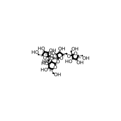 OC[C@H]1O[C@@](CO)(OC[C@H]2O[C@@](CO[C@]3(CO)O[C@H](CO)[C@@H](O)[C@@H]3O)(O[C@H]3O[C@H](CO)[C@@H](O)[C@H](O)[C@H]3O)[C@@H](O)[C@@H]2O)[C@@H](O)[C@@H]1O